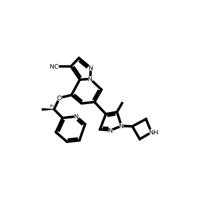 Cc1c(-c2cc(O[C@H](C)c3ccccn3)c3c(C#N)cnn3c2)cnn1C1CNC1